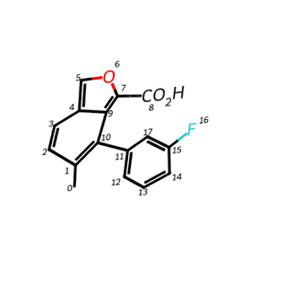 Cc1ccc2coc(C(=O)O)c2c1-c1cccc(F)c1